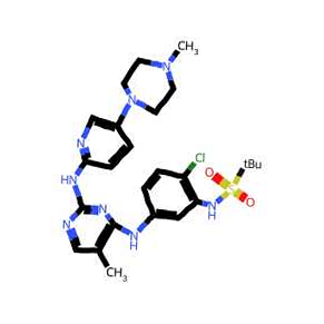 Cc1cnc(Nc2ccc(N3CCN(C)CC3)cn2)nc1Nc1ccc(Cl)c(NS(=O)(=O)C(C)(C)C)c1